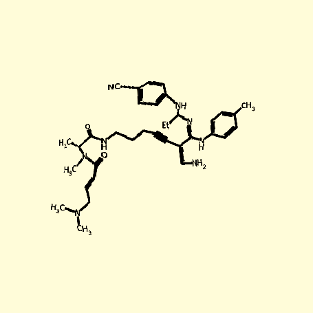 CCC(/N=C(Nc1ccc(C)cc1)\C(C#CCCCNC(=O)[C@H](C)N(C)C(=O)/C=C/CN(C)C)=C/N)Nc1ccc(C#N)cc1